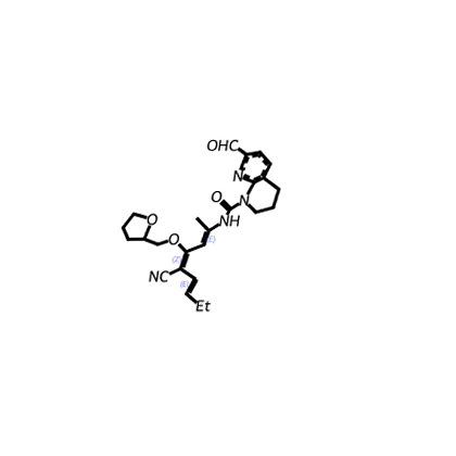 CC/C=C/C(C#N)=C(\C=C(/C)NC(=O)N1CCCc2ccc(C=O)nc21)OCC1CCCO1